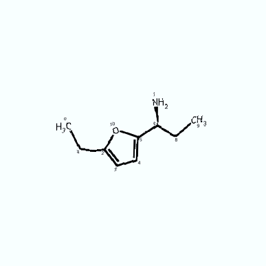 CCc1ccc([C@@H](N)CC)o1